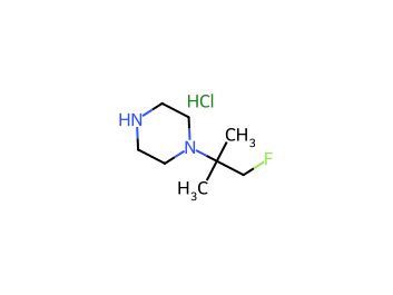 CC(C)(CF)N1CCNCC1.Cl